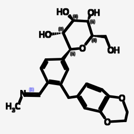 C/N=C/c1ccc([C@@H]2O[C@H](CO)[C@@H](O)[C@H](O)[C@H]2O)cc1Cc1ccc2c(c1)OCCO2